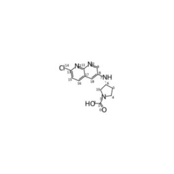 O=C(O)N1CC[C@@H](Nc2cnc3nc(Cl)ccc3c2)C1